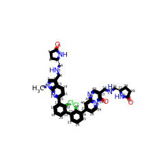 Cn1cc(CNC[C@@H]2CCC(=O)N2)c2ccc(-c3cccc(-c4cccc(-c5ccn6c(=O)c(CNC[C@H]7CCC(=O)N7)cnc6c5)c4Cl)c3Cl)nc21